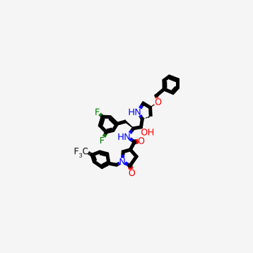 O=C(N[C@@H](Cc1cc(F)cc(F)c1)[C@H](O)[C@H]1C[C@@H](OCc2ccccc2)CN1)C1CC(=O)N(Cc2ccc(C(F)(F)F)cc2)C1